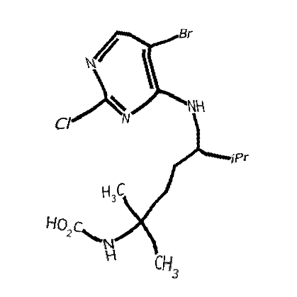 CC(C)C(CCC(C)(C)NC(=O)O)Nc1nc(Cl)ncc1Br